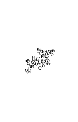 CCCOC(=O)CNC(=O)C(=O)C(CCC)NC(=O)[C@@H]1CCCCN1C(=O)[C@@H](NC(=O)[C@@H](NC(=O)[C@H](CCC(=O)OC(C)(C)C)NC(=O)[C@H](CCC(=O)OC(C)(C)C)NC(C)=O)C(C)C)C1CCCCC1